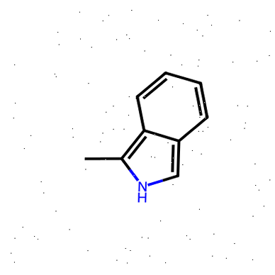 Cc1[nH]cc2ccccc12